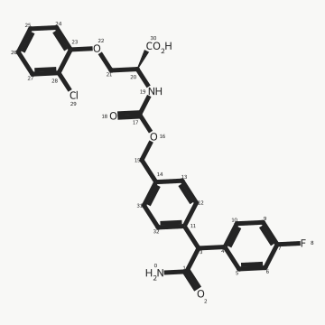 NC(=O)C(c1ccc(F)cc1)c1ccc(COC(=O)N[C@@H](COc2ccccc2Cl)C(=O)O)cc1